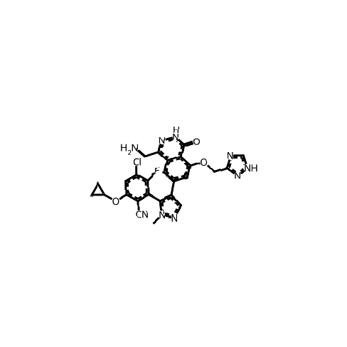 Cn1ncc(-c2cc(OCc3nc[nH]n3)c3c(=O)[nH]nc(CN)c3c2)c1-c1c(F)c(Cl)cc(OC2CC2)c1C#N